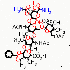 CC(=O)NC1[C@H](O[C@@H]2C(CO[C@@H]3OC(COC(C)=O)[C@@H](C)[C@H](C)C3OC(C)=O)O[C@@H](OC3C(O)OC(C(N)=O)[C@@](C)(O)[C@@H]3OC(N)=O)C(NC(C)=O)[C@H]2C)OC(C)[C@@H](O[C@@H]2OC(C(=O)O)[C@H](C)[C@H](C)C2OC(=O)c2ccccc2)[C@@H]1C